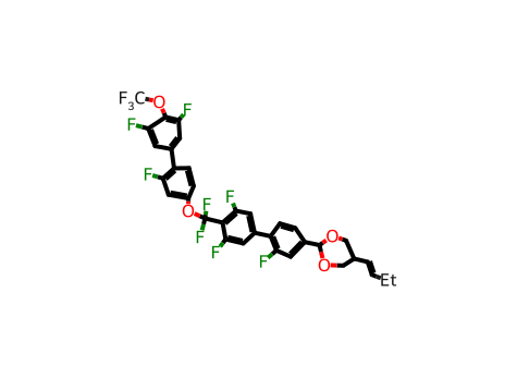 CC/C=C/C1COC(c2ccc(-c3cc(F)c(C(F)(F)Oc4ccc(-c5cc(F)c(OC(F)(F)F)c(F)c5)c(F)c4)c(F)c3)c(F)c2)OC1